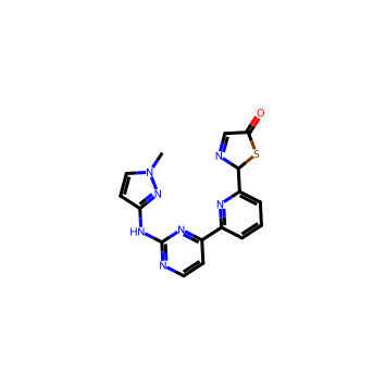 Cn1ccc(Nc2nccc(-c3cccc(C4N=CC(=O)S4)n3)n2)n1